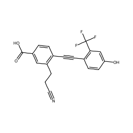 N#CCCc1cc(C(=O)O)ccc1C#Cc1ccc(O)cc1C(F)(F)F